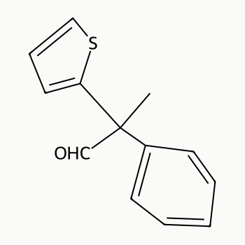 CC(C=O)(c1ccccc1)c1cccs1